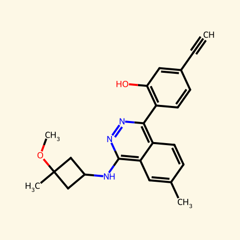 C#Cc1ccc(-c2nnc(NC3CC(C)(OC)C3)c3cc(C)ccc23)c(O)c1